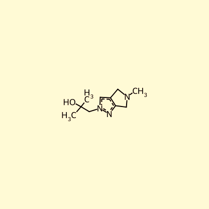 CN1Cc2cn(CC(C)(C)O)nc2C1